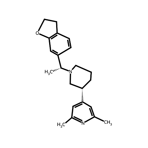 Cc1cc([C@H]2CCCN([C@H](C)c3ccc4c(c3)OCC4)C2)cc(C)n1